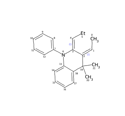 C/C=C1\C(=C/CC)N(c2ccccc2)c2ccccc2C1(C)C